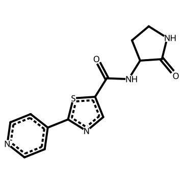 O=C(NC1CCNC1=O)c1cnc(-c2ccncc2)s1